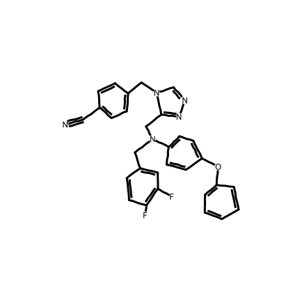 N#Cc1ccc(Cn2cnnc2CN(Cc2ccc(F)c(F)c2)c2ccc(Oc3ccccc3)cc2)cc1